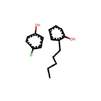 CCCCCc1ccccc1O.Oc1ccc(Br)cc1